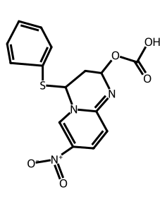 O=C(O)OC1CC(Sc2ccccc2)N2C=C([N+](=O)[O-])C=CC2=N1